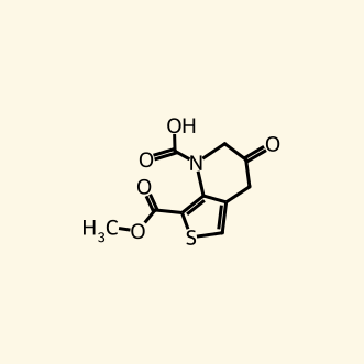 COC(=O)c1scc2c1N(C(=O)O)CC(=O)C2